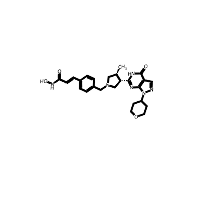 C[C@@H]1CN(Cc2ccc(/C=C/C(=O)NO)cc2)C[C@H]1c1nc2c(cnn2C2CCOCC2)c(=O)[nH]1